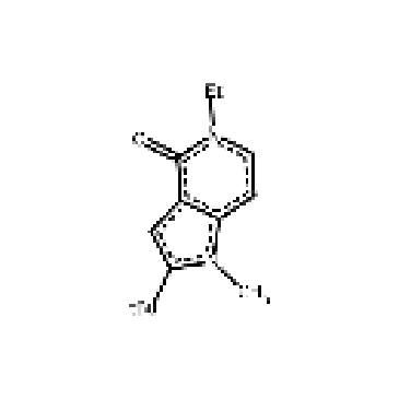 CCn1ccc2c(cc(C(C)(C)C)n2C)c1=O